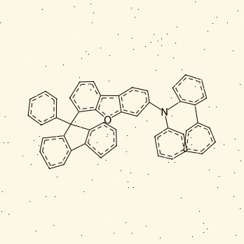 c1ccc(-c2ccccc2N(c2ccccc2)c2ccc3c(c2)oc2c(C4(c5ccccc5)c5ccccc5-c5ccccc54)cccc23)cc1